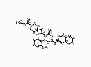 CC(C)c1ccccc1C1CN(Cc2ccc3c(c2)CCCO3)CC(=O)N1C1CC2(CCN(C(=O)OC(C)(C)C)CC2)C1